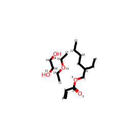 C=CC(=O)OCC(CC)CCCC.CCOCC.OCCO